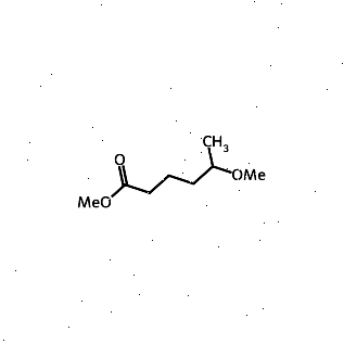 COC(=O)CCCC(C)OC